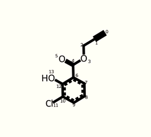 C#CCOC(=O)c1cccc(Cl)c1O